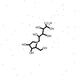 O=C(O)C(O)C(O)C(O)C(O)CN1CC(O)C(O)C1CO